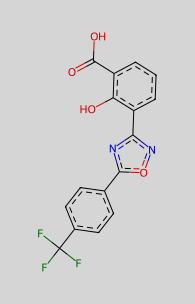 O=C(O)c1cccc(-c2noc(-c3ccc(C(F)(F)F)cc3)n2)c1O